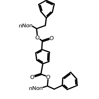 CCCCCCCCCC(Cc1ccccc1)OC(=O)c1ccc(C(=O)OC(CCCCCCCCC)Cc2ccccc2)cc1